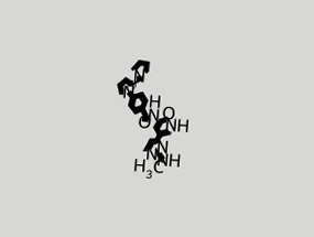 CNc1nccc(-c2c[nH]c(=O)c(NC(=O)c3ccc(N4CCC[C@H]4CN4CCCC4)cc3)c2)n1